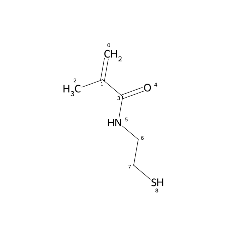 C=C(C)C(=O)NCCS